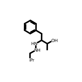 CC(C)CNNC(Cc1ccccc1)C(C)O